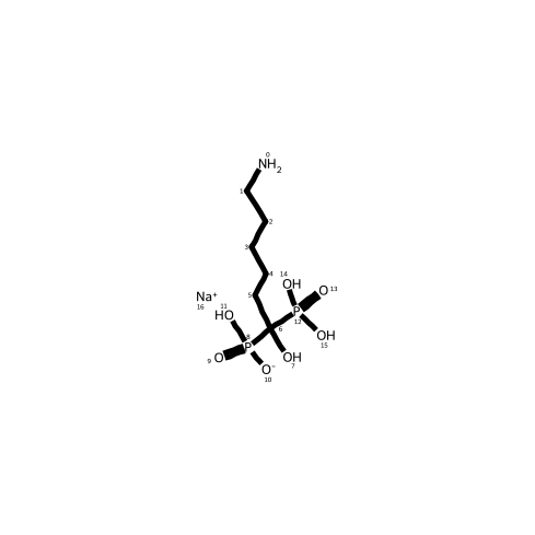 NCCCCCC(O)(P(=O)([O-])O)P(=O)(O)O.[Na+]